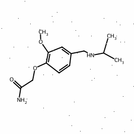 COc1cc(CNC(C)C)ccc1OCC(N)=O